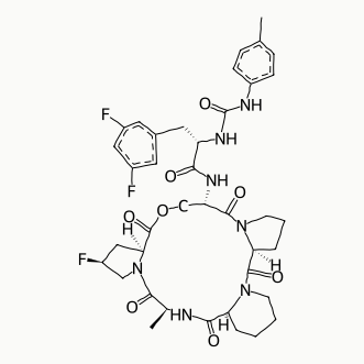 Cc1ccc(NC(=O)N[C@@H](Cc2cc(F)cc(F)c2)C(=O)N[C@H]2COC(=O)[C@@H]3C[C@H](F)CN3C(=O)[C@H](C)NC(=O)[C@@H]3CCCCN3C(=O)[C@@H]3CCCN3C2=O)cc1